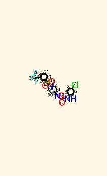 O=C(Nc1ccc(Cl)cc1)ON=C1CCN(S(=O)(=O)c2cccc(C(F)(F)F)c2)CC1